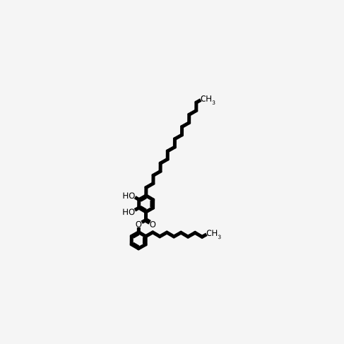 CCCCCCCCCCCCCCCCc1ccc(C(=O)Oc2ccccc2CCCCCCCCC)c(O)c1O